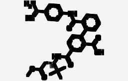 COC(=O)C[C@H](NC(=O)c1ccc(-c2ccccc2C(=O)Nc2ccc(C(=N)N)cc2)c(C(=O)O)c1)C(C)(C)C